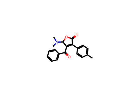 Cc1ccc(C2=C(C(=O)c3ccccc3)C(N(C)C)OC2=O)cc1